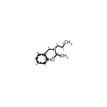 CCCN(Cc1ccccc1)C(C)O